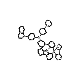 c1ccc(-c2ccc(N(c3ccc(-c4cccc5ccccc45)cc3)c3cccc(-c4cccc5c4-n4c6ccccc6c6cccc(c64)C54c5ccccc5-c5ccccc54)c3)cc2)cc1